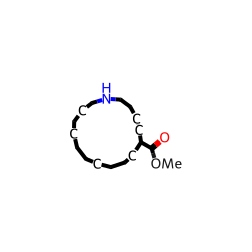 COC(=O)C1CCCCCCCCCCNCCCC1